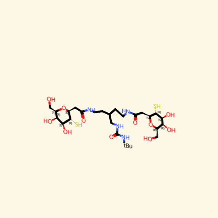 CC(C)(C)NC(=O)NC[C](CCNC(=O)C[C@@H]1O[C@H](CO)[C@H](O)[C@H](O)[C@H]1S)CCNC(=O)C[C@@H]1O[C@H](CO)[C@H](O)[C@H](O)[C@H]1S